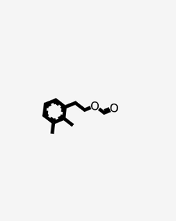 Cc1cccc(CCOC=O)c1C